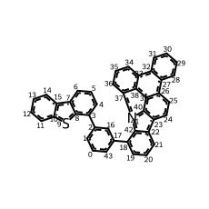 c1cc(-c2cccc3c2sc2ccccc23)cc(-c2cccc3c4ccc5c6ccccc6c6cccc7c6c5c4n7c23)c1